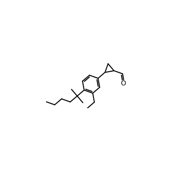 CCCCC(C)(C)c1ccc(C2CC2C=O)cc1CC